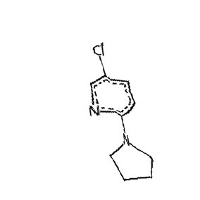 Clc1ccc(N2CCCC2)nc1